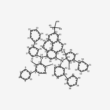 Cc1ccc(-c2ccccc2)c(C)c1N(c1cccc(-c2ccccc2)c1)c1cc(N(c2cccc(-c3ccccc3)c2)c2c(C)ccc(-c3ccccc3)c2C)c2ccc3cc(C(C)(C)C)cc4ccc1c2c43